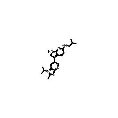 Cc1nc2ncc(-c3c[nH]c4nc(NCC(C)C)ncc34)cc2n1C(C)C